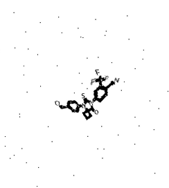 N#Cc1ccc(N2C(=O)C3(CCC3)N(c3ccc(C=O)cc3)C2=S)cc1C(F)(F)F